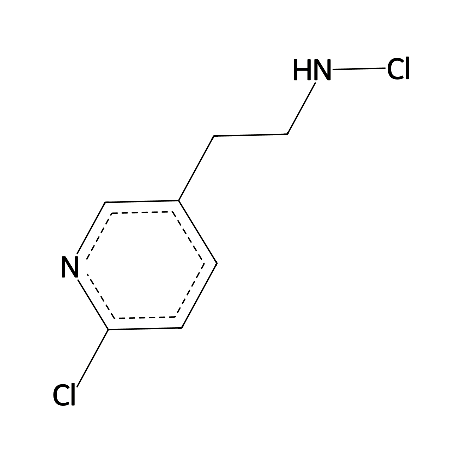 ClNCCc1ccc(Cl)nc1